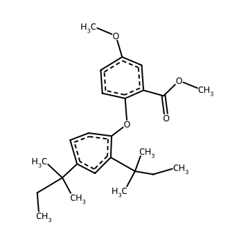 CCC(C)(C)c1ccc(Oc2ccc(OC)cc2C(=O)OC)c(C(C)(C)CC)c1